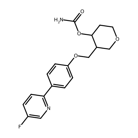 NC(=O)OC1CCOCC1COc1ccc(-c2ccc(F)cn2)cc1